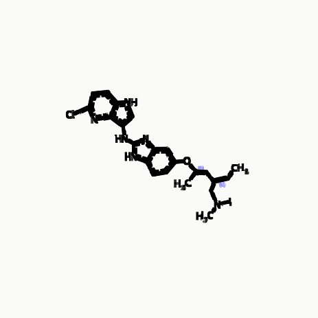 C/C=C(\C=C(/C)Oc1ccc2[nH]c(Nc3c[nH]c4ccc(Cl)nc34)nc2c1)CN(C)I